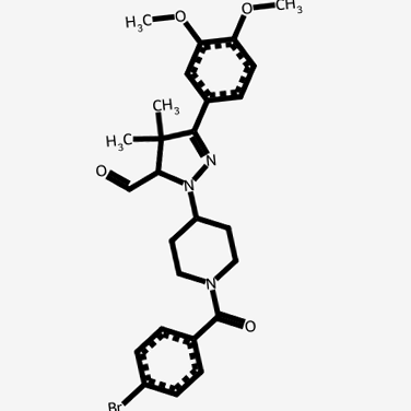 COc1ccc(C2=NN(C3CCN(C(=O)c4ccc(Br)cc4)CC3)C(C=O)C2(C)C)cc1OC